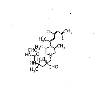 C=C(Cl)/C=C(Cl)\C=C(/C)N1[C@@H](C)CN(CC(C)(C=O)CC(C)(C)NC(=O)NC=O)C[C@@H]1C